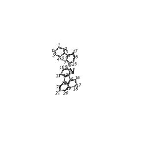 c1ccc2c(c1)Cc1c(-c3ccc4c(n3)-c3cccc5cccc-4c35)cccc1-2